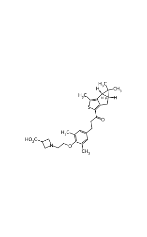 Cc1cc(CCC(=O)c2sc(C)c3c2C[C@@H]2[C@H]3C2(C)C)cc(C)c1OCCN1CC(C(=O)O)C1